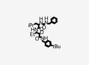 CCC(NC(=O)C(CC(C)C)NC(=O)NCc1ccccc1)C(=O)C(=O)NCc1ccc(C(C)(C)C)cc1